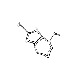 Cc1cccc2oc(Cl)nc12